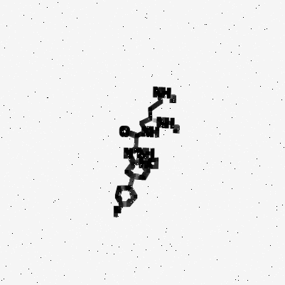 Cl.NCC[C@H](N)CNC(=O)c1nc2cc(-c3ccc(F)cc3)ccc2[nH]1